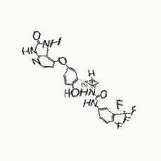 O=C1NCc2c(Oc3ccc(O)c([C@@H]4[C@@H]5C[C@@]45NC(=O)Nc4ccc(F)c(C(F)(F)F)c4)c3)ccnc2N1